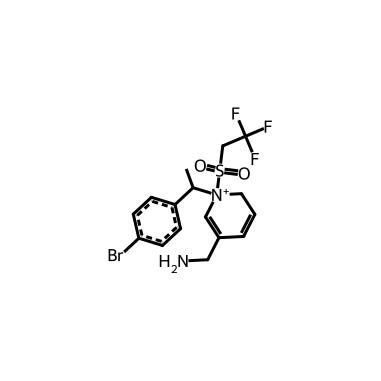 CC(c1ccc(Br)cc1)[N+]1(S(=O)(=O)CC(F)(F)F)C=C(CN)C=CC1